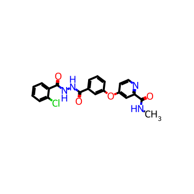 CNC(=O)c1cc(Oc2cccc(C(=O)NNC(=O)c3ccccc3Cl)c2)ccn1